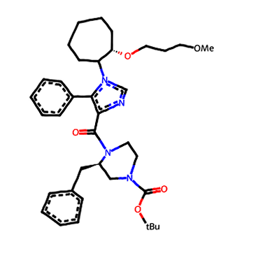 COCCCO[C@H]1CCCCCC1n1cnc(C(=O)N2CCN(C(=O)OC(C)(C)C)C[C@H]2Cc2ccccc2)c1-c1ccccc1